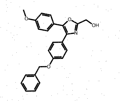 COc1ccc(-c2oc(CO)nc2-c2ccc(OCc3ccccc3)cc2)cc1